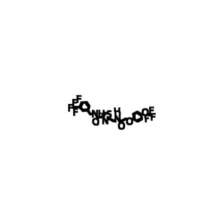 O=C(COc1ccc(OC(F)(F)F)cc1)NCc1nc(C(=O)NCc2ccc(F)c(C(F)(F)F)c2)cs1